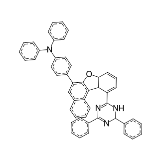 C1=CC2Oc3c(-c4ccc(N(c5ccccc5)c5ccccc5)cc4)cc4ccccc4c3C2C(C2=NC(c3ccccc3)=NC(c3ccccc3)N2)=C1